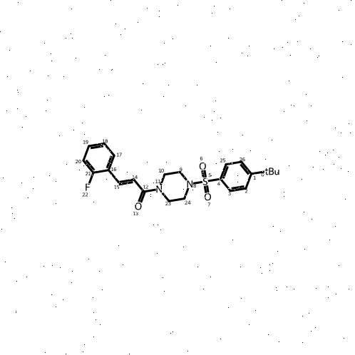 CC(C)(C)c1ccc(S(=O)(=O)N2CCN(C(=O)/C=C/c3ccccc3F)CC2)cc1